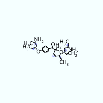 C=C/C(=C\C(N)=C/C)OC(/C=C\C(=C)C(=O)c1ccc(OC(/C=C(\C)N)=C/C)cc1)=C/C